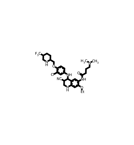 CCOc1cc2c(cc1NC(=O)CCCN(C)C)C(Nc1ccc(OCC3CCC(C(F)(F)F)CN3)c(Cl)c1)C(C#N)CN2